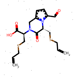 C=CCSC[C@@H]1C(=O)N([C@@H](CSCC=C)C(=O)O)Cc2ccc(C=O)n21